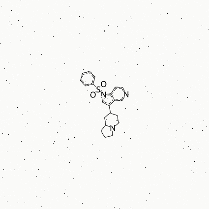 O=S(=O)(c1ccccc1)n1cc(C2CCN3CCCC3C2)c2cnccc21